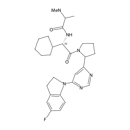 CNC(C)C(=O)N[C@H](C(=O)N1CCCC1c1cc(N2CCc3cc(F)ccc32)ncn1)C1CCCCC1